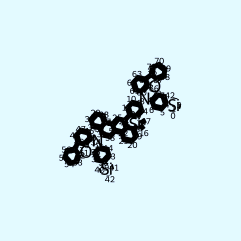 C[Si](C)(C)c1ccc(N(c2ccc3c(c2)[Si](C)(C)c2cccc4c2c-3cc2c3ccccc3c(N(c3ccc([Si](C)(C)C)cc3)c3cccc5c3oc3ccccc35)cc42)c2cccc3c2oc2ccccc23)cc1